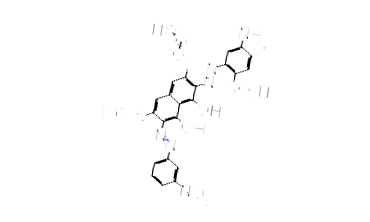 Nc1ccc(S(=O)(=O)O)c(/N=N/c2c(SOOO)cc3cc(S(=O)(=O)O)c(/N=N/c4cccc([N+](=O)[O-])c4)c(O)c3c2O)c1